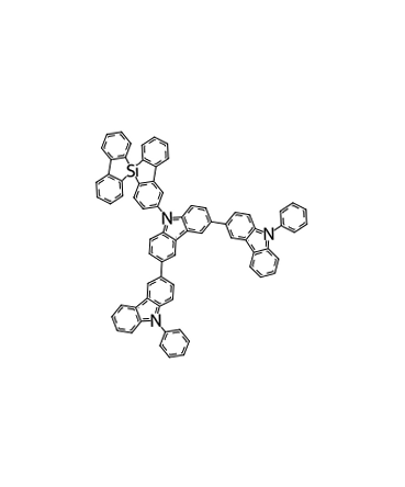 c1ccc(-n2c3ccccc3c3cc(-c4ccc5c(c4)c4cc(-c6ccc7c(c6)c6ccccc6n7-c6ccccc6)ccc4n5-c4ccc5c(c4)-c4ccccc4[Si]54c5ccccc5-c5ccccc54)ccc32)cc1